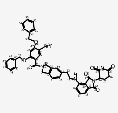 CC(C)c1cc(C(=O)N2Cc3ccc(CCNc4cccc5c4C(=O)N(C4CCC(=O)NC4=O)C5=O)cc3C2)c(OCc2ccccc2)cc1OCc1ccccc1